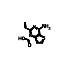 C=Cc1nc(N)c2sccc2n1.O=CO